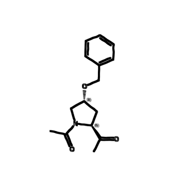 CC(=O)[C@@H]1C[C@@H](OCc2ccccc2)CN1C(C)=O